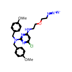 COc1ccc(CN(Cc2ccc(OC)cc2)c2nc(Cl)cc(NCCOCCN=[N+]=[N-])n2)cc1